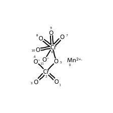 [Mn+2].[O]=[Cr](=[O])([O-])[O][Cr](=[O])(=[O])(=[O])(=[O])[O-]